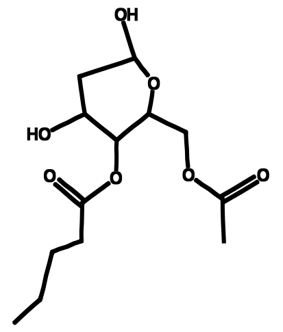 CCCCC(=O)OC1C(O)CC(O)OC1COC(C)=O